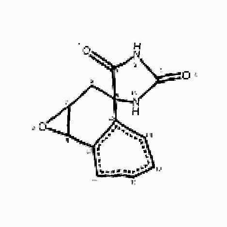 O=C1NC(=O)C2(CC3OC3c3ccccc32)N1